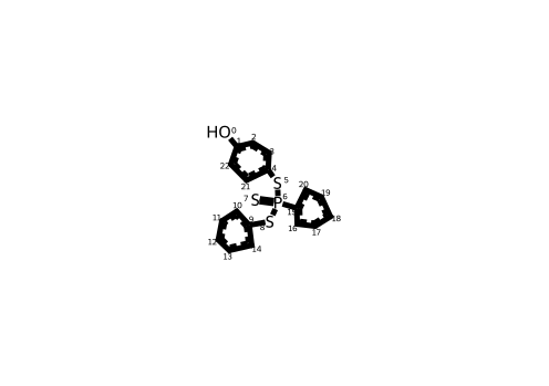 Oc1ccc(SP(=S)(Sc2ccccc2)c2ccccc2)cc1